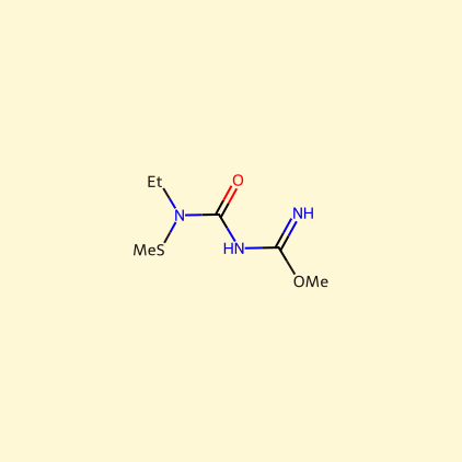 CCN(SC)C(=O)NC(=N)OC